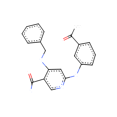 CNC(=O)c1cccc(Nc2cc(NCc3ccccc3)c(C(N)=O)cn2)c1